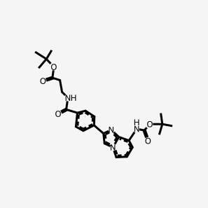 CC(C)(C)OC(=O)CCNC(=O)c1ccc(-c2cn3cccc(NC(=O)OC(C)(C)C)c3n2)cc1